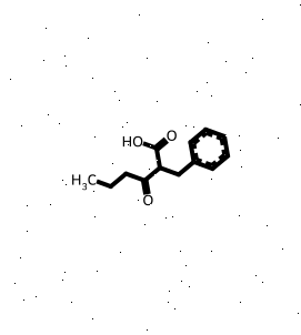 CCCC(=O)C(Cc1ccccc1)C(=O)O